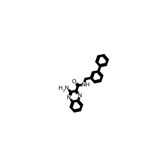 Nc1nc2ccccc2nc1C(=O)NCc1cccc(-c2ccccc2)c1